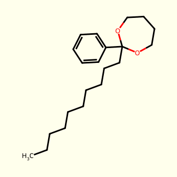 CCCCCCCCCCC1(c2ccccc2)OCCCCO1